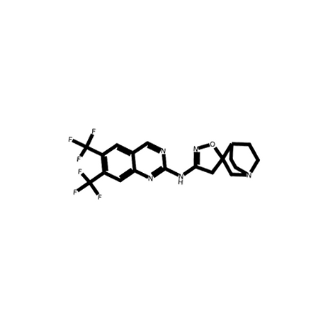 FC(F)(F)c1cc2cnc(NC3=NOC4(C3)CN3CCC4CC3)nc2cc1C(F)(F)F